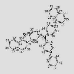 c1ccc(-c2ccc(N(c3ccc(-c4cccc5ccccc45)cc3)c3ccc4sc5c6ccccc6ccc5c4c3)cc2)cc1